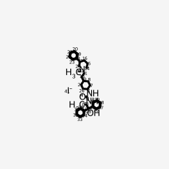 C[C@@H](NC(=O)NC1CCC(CC[N+]2(C)CCCC(c3ccccc3)C2)CC1)C(O)(c1ccccc1)c1ccccc1.[I-]